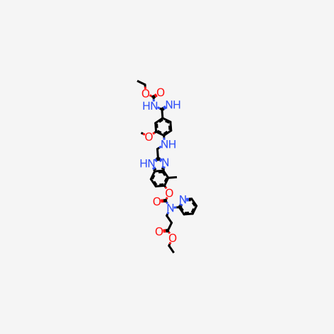 CCOC(=O)CCN(C(=O)Oc1ccc2[nH]c(CNc3ccc(C(=N)NC(=O)OCC)cc3OC)nc2c1C)c1ccccn1